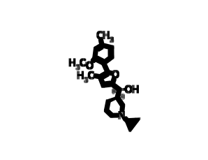 COc1cc(C)ccc1-c1oc([C@H](O)[C@@H]2CCCN(C3CC3)C2)cc1C